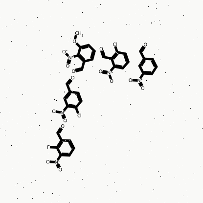 COc1cccc(C=O)c1[N+](=O)[O-].O=Cc1c(Cl)cccc1[N+](=O)[O-].O=Cc1ccc(Cl)c([N+](=O)[O-])c1.O=Cc1cccc([N+](=O)[O-])c1.O=Cc1cccc([N+](=O)[O-])c1F